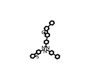 c1ccc(-c2ccc(-c3nc(-c4ccc(-c5ccc6c(c5)oc5ccc(-c7ccccc7)cc56)cc4)nc(-c4ccc5c(c4)sc4ccccc45)n3)cc2)cc1